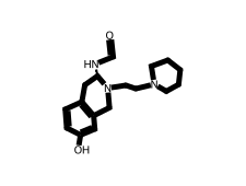 O=CN[C@H]1Cc2ccc(O)cc2CN1CCN1CCCCC1